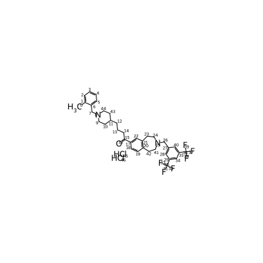 Cc1ccccc1CN1CCC(CCCC(=O)c2ccc3c(c2)CCN(Cc2cc(C(F)(F)F)cc(C(F)(F)F)c2)CC3)CC1.Cl.Cl